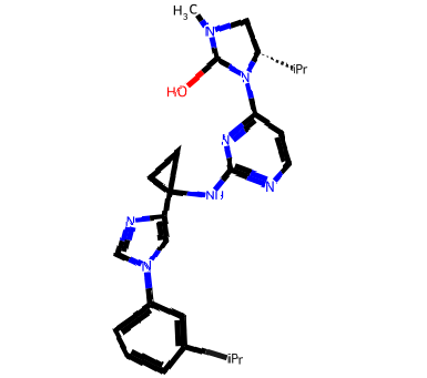 CC(C)c1cccc(-n2cnc(C3(Nc4nccc(N5C(O)N(C)C[C@@H]5C(C)C)n4)CC3)c2)c1